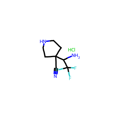 Cl.N#CC1(C(N)C(F)(F)F)CCNCC1